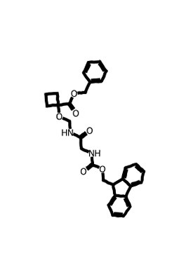 O=C(CNC(=O)OCC1c2ccccc2-c2ccccc21)NCOC1(C(=O)OCc2ccccc2)CCC1